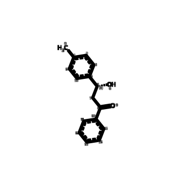 Cc1ccc([C@H](O)CC(=O)c2ccccc2)cc1